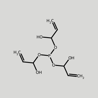 C=CC(O)OP(OC(O)C=C)OC(O)C=C